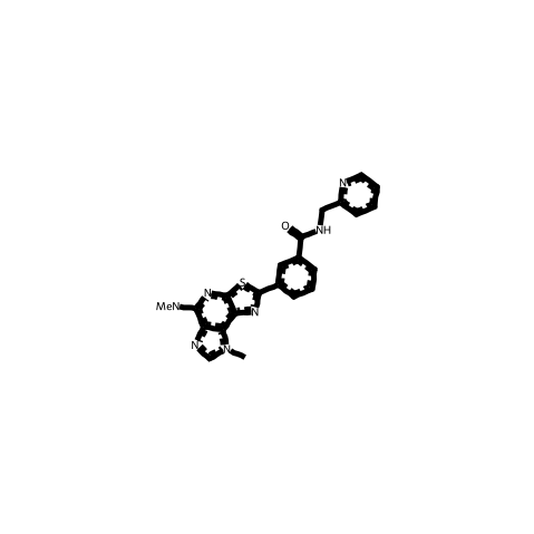 CNc1nc2sc(-c3cccc(C(=O)NCc4ccccn4)c3)nc2c2c1ncn2C